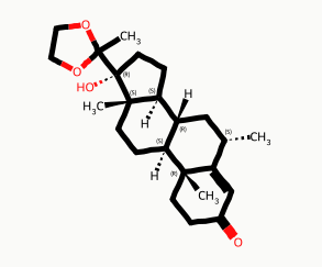 C[C@H]1C[C@@H]2[C@H](CC[C@@]3(C)[C@H]2CC[C@]3(O)C2(C)OCCO2)[C@@]2(C)CCC(=O)C=C12